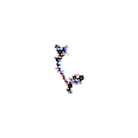 CCn1cc(-c2cc(Cn3ccnc3C)cc3c2OC[C@@H](Cc2cc(C)cc(N4CC(N(C)CC(=O)NCCOCCOCCOc5cc(-c6scnc6C)ccc5CNC(=O)[C@@H]5C[C@@H](O)CN5C(=O)[C@H](C(C)C)N5Cc6ccccc6C5=O)C4)n2)C3=O)c(C(F)(F)F)n1